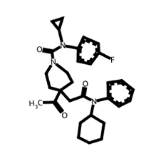 CC(=O)C1(CC(=O)N(c2ccccc2)C2CCCCC2)CCN(C(=O)N(c2ccc(F)cc2)C2CC2)CC1